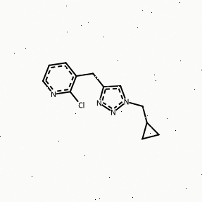 Clc1ncccc1Cc1cn(CC2CC2)nn1